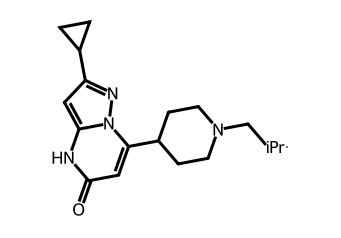 C[C](C)CN1CCC(c2cc(=O)[nH]c3cc(C4CC4)nn23)CC1